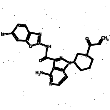 C=CC(=O)N1CCCC(n2nc(C(=O)Nc3nc4ccc(Br)cc4o3)c3c(N)nccc32)C1